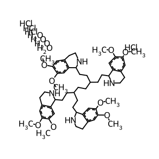 COc1cc2c(cc1OC)C(CCC(CCC(CCC1NCCc3cc(OC)c(OC)cc31)CCC1NCCc3cc(OC)c(OC)cc31)CCC1NCCc3cc(OC)c(OC)cc31)NCC2.Cl.Cl.Cl.Cl.O.O.O.O